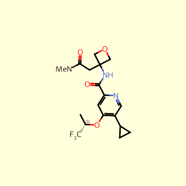 CNC(=O)CC1(NC(=O)c2cc(O[C@@H](C)C(F)(F)F)c(C3CC3)cn2)COC1